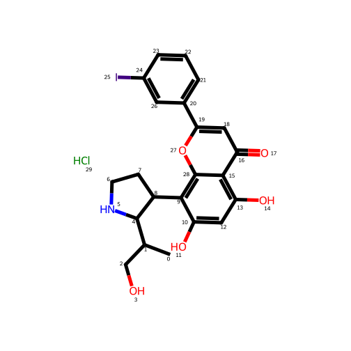 CC(CO)C1NCCC1c1c(O)cc(O)c2c(=O)cc(-c3cccc(I)c3)oc12.Cl